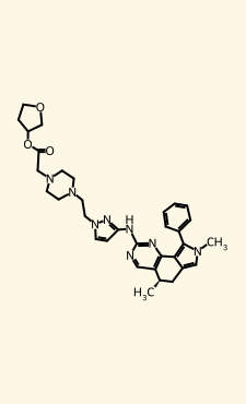 C[C@@H]1Cc2cn(C)c(-c3ccccc3)c2-c2nc(Nc3ccn(CCN4CCN(CC(=O)OC5CCOC5)CC4)n3)ncc21